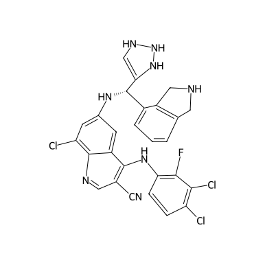 N#Cc1cnc2c(Cl)cc(N[C@H](C3=CNNN3)c3cccc4c3CNC4)cc2c1Nc1ccc(Cl)c(Cl)c1F